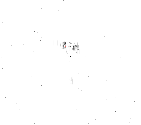 C[C@H](Cn1cnc2c(N)ncnc21)OCP(=O)(O)OCCCSCCCCCCCCCCCCC#CSI